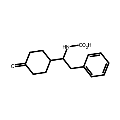 O=C1CCC(C(Cc2ccccc2)NC(=O)O)CC1